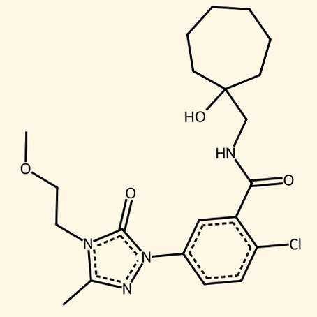 COCCn1c(C)nn(-c2ccc(Cl)c(C(=O)NCC3(O)CCCCCC3)c2)c1=O